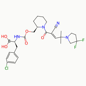 CC(C)(C=C(C#N)C(=O)N1CCCC[C@@H]1COC(=O)N[C@@H](Cc1ccc(Cl)cc1)B(O)O)N1CCC(F)(F)C1